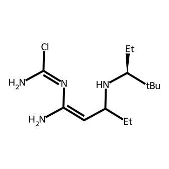 CCC(/C=C(N)\N=C(/N)Cl)N[C@@H](CC)C(C)(C)C